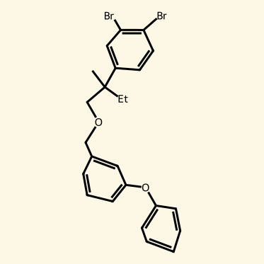 CCC(C)(COCc1cccc(Oc2ccccc2)c1)c1ccc(Br)c(Br)c1